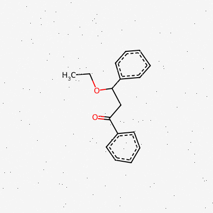 CCOC(CC(=O)c1ccccc1)c1ccccc1